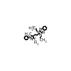 C=CCn1c(/C=C/c2c(C)nn(-c3ccccc3)c2C)[n+](CC=C)c2nc3ccccc3nc21.[I-]